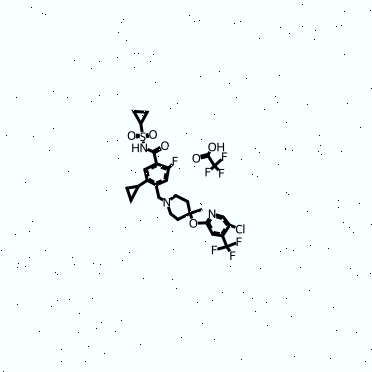 CC1(Oc2cc(C(F)(F)F)c(Cl)cn2)CCN(Cc2cc(F)c(C(=O)NS(=O)(=O)C3CC3)cc2C2CC2)CC1.O=C(O)C(F)(F)F